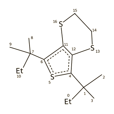 CCC(C)(C)c1sc(C(C)(C)CC)c2c1SCCS2